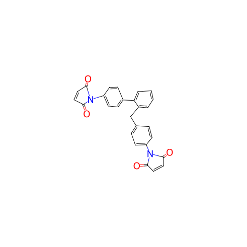 O=C1C=CC(=O)N1c1ccc(Cc2ccccc2-c2ccc(N3C(=O)C=CC3=O)cc2)cc1